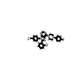 Fc1ccc(N2CCN(c3ncnc4c3nc(-c3ccccc3Cl)n4-c3ccc(Cl)cc3)CC2)cc1